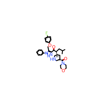 CC(C)CC(C(=O)c1nnn(-c2ccccc2)c1COc1ccc(F)cc1)[C@@H]1CNC[C@H](C(=O)N2CCOCC2)C1